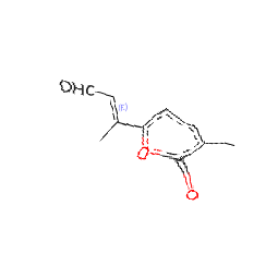 C/C(=C\C=O)c1ccc(C)c(=O)o1